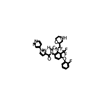 CN(CC1CNCCO1)c1c(NC(=O)c2ccn(-c3ccnnc3)n2)ccc(Oc2ccccc2F)c1C(F)(F)F